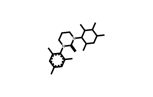 C=C1N(c2c(C)cc(C)cc2C)CCCN1C1C(C)CC(C)C(C)C1C